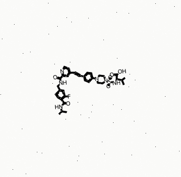 CC(C)NC(=O)c1ccc(CNC(=O)c2cc(C#Cc3ccc(N4CCN(S(=O)(=O)N[C@@H](C(=O)O)C(C)C)CC4)cc3)ccn2)cc1F